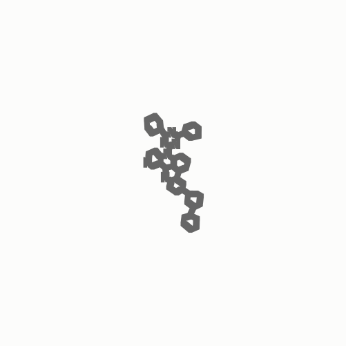 c1ccc(-c2cccc(-c3ccc4nc5c6c(cccc6c4c3)N(c3nc(-c4ccccc4)nc(-c4ccccc4)n3)c3ccncc3-5)c2)cc1